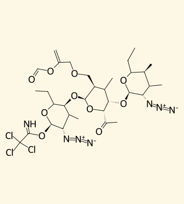 C=C(COC[C@H]1C(C)[C@H](O[C@H]2OC(CC)[C@@H](C)C(C)[C@@H]2N=[N+]=[N-])[C@H](C(C)=O)O[C@H]1O[C@@H]1C(CC)O[C@H](OC(=N)C(Cl)(Cl)Cl)[C@@H](N=[N+]=[N-])C1C)OC=O